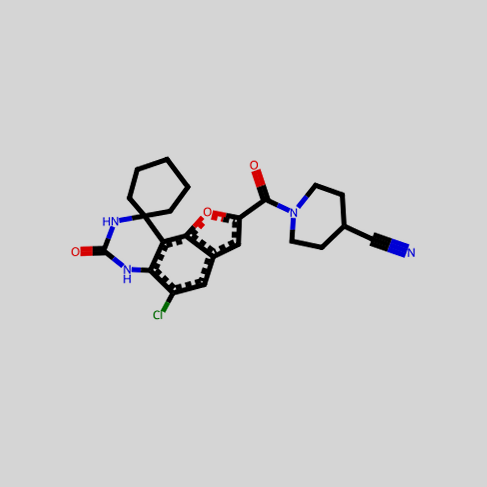 N#CC1CCN(C(=O)c2cc3cc(Cl)c4c(c3o2)C2(CCCCC2)NC(=O)N4)CC1